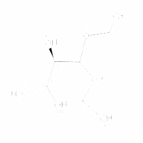 CCOC(OCC)[C@H](O)[C@@H](C)O